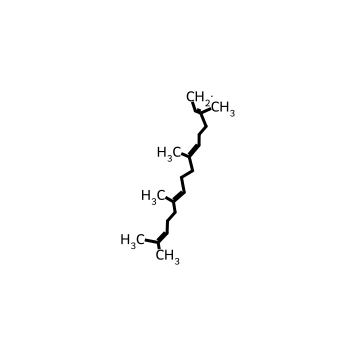 [CH2]C=C(C)CC/C=C(\C)CC/C=C(\C)CCC=C(C)C